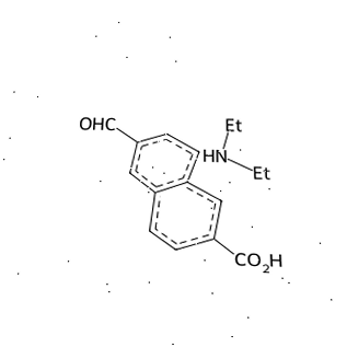 CCNCC.O=Cc1ccc2cc(C(=O)O)ccc2c1